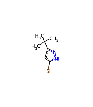 CC(C)(C)c1cc(S)[nH]n1